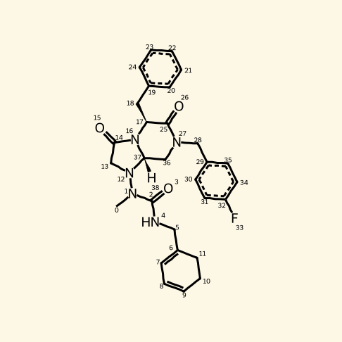 CN(C(=O)NCC1=CC=CCC1)N1CC(=O)N2[C@@H](Cc3ccccc3)C(=O)N(Cc3ccc(F)cc3)C[C@@H]21